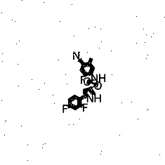 Cc1cc(NS(=O)(=O)c2c[nH]c(-c3ccc(F)cc3F)c2)c(F)cc1C#N